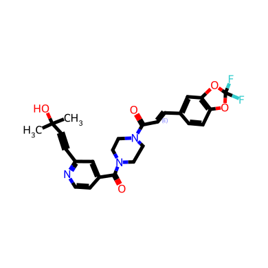 CC(C)(O)C#Cc1cc(C(=O)N2CCN(C(=O)/C=C/c3ccc4c(c3)OC(F)(F)O4)CC2)ccn1